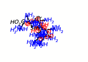 CSCC[C@H](NC(=O)[C@H](CC(C)C)NC(=O)[C@H](CCCCN)NC(=O)[C@H](CO)NC(=O)[C@@H](NC(=O)[C@H](CCCNC(=N)N)NC(=O)[C@H](CCCNC(=N)N)NC(=O)[C@H](CCC(N)=O)NC(=O)[C@H](CCCNC(=N)N)NC(=O)[C@@H](N)CCCNC(=N)N)[C@@H](C)O)C(=O)N[C@@H](CCCCN)C(=O)N[C@@H](CCCNC(=N)N)C(=O)O